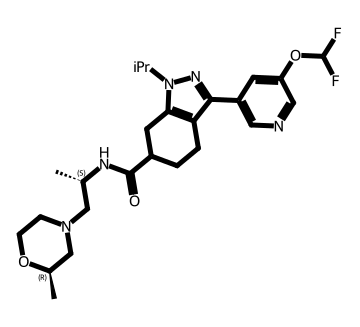 CC(C)n1nc(-c2cncc(OC(F)F)c2)c2c1CC(C(=O)N[C@@H](C)CN1CCO[C@H](C)C1)CC2